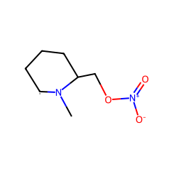 CN1[CH]CCCC1CO[N+](=O)[O-]